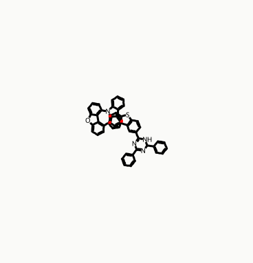 c1ccc(C2=NC(c3ccccc3)NC(c3ccc4sc5ccc(-c6cccc7oc8cccc(-n9c%10ccccc%10c%10ccccc%109)c8c67)cc5c4c3)=N2)cc1